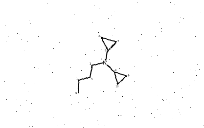 [CH2]CCCN(C1CC1)C1CC1